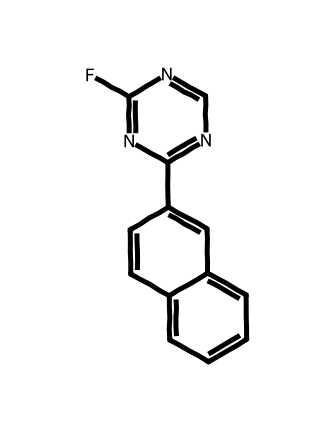 Fc1ncnc(-c2ccc3ccccc3c2)n1